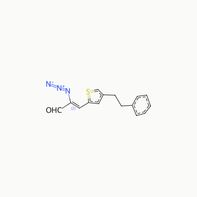 [N-]=[N+]=N/C(C=O)=C\c1cc(CCc2ccccc2)cs1